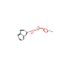 CCOCCOCCOCc1ccc2ccccc2c1